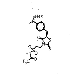 CCCCCCN(C)c1ccc(C=C2SC(=S)N(CCS(=O)(=O)NC(=O)C(F)(F)F)C2=O)cc1